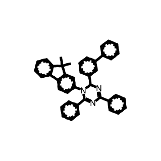 CC1(C)c2ccccc2-c2ccc(N3C(c4ccccc4)=NC(c4ccccc4)=NC3c3cccc(-c4ccccc4)c3)cc21